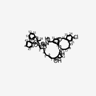 C[C@H](C[C@@H]1CC/C=C/C(O)[C@@H]2CC[C@H]2CN2CCCCc3cc(Cl)ccc3COc3ccc(cc32)C(=O)NS1(=O)=O)O[Si](c1ccccc1)(c1ccccc1)C(C)(C)C